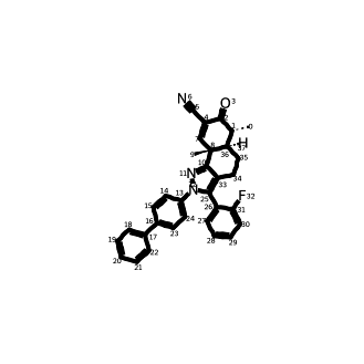 C[C@H]1C(=O)C(C#N)=C[C@@]2(C)c3nn(-c4ccc(-c5ccccc5)cc4)c(-c4ccccc4F)c3CC[C@H]12